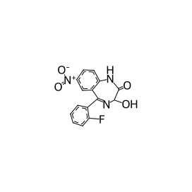 O=C1Nc2ccc([N+](=O)[O-])cc2C(c2ccccc2F)=NC1O